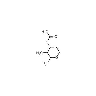 CC(=O)O[C@@H]1CCOC(C)C1C